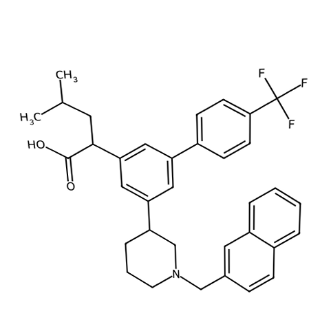 CC(C)CC(C(=O)O)c1cc(-c2ccc(C(F)(F)F)cc2)cc(C2CCCN(Cc3ccc4ccccc4c3)C2)c1